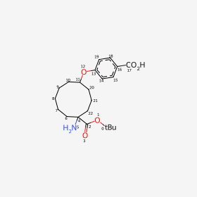 CC(C)(C)OC(=O)C1(N)CCCCCC(Oc2ccc(C(=O)O)cc2)CCC1